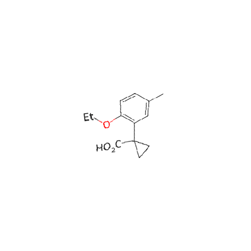 CCOc1ccc(C)cc1C1(C(=O)O)CC1